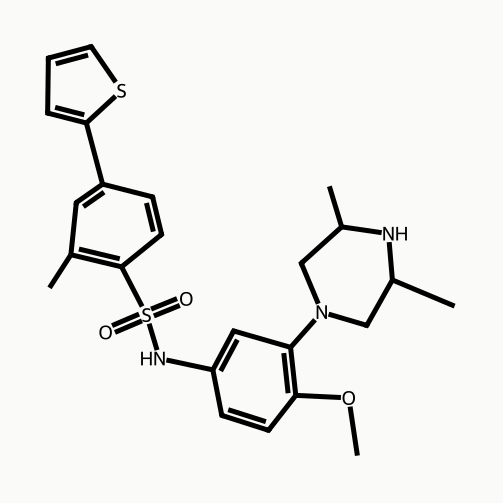 COc1ccc(NS(=O)(=O)c2ccc(-c3cccs3)cc2C)cc1N1CC(C)NC(C)C1